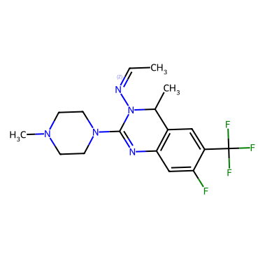 C/C=N\N1C(N2CCN(C)CC2)=Nc2cc(F)c(C(F)(F)F)cc2C1C